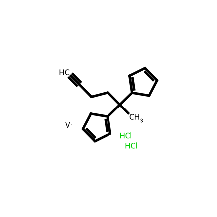 C#CCCC(C)(C1=CC=CC1)C1=CC=CC1.Cl.Cl.[V]